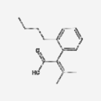 CCCCc1ccccc1C(C(=O)O)=C(C)C